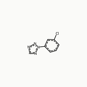 Clc1cccc(-n2n[c]nn2)c1